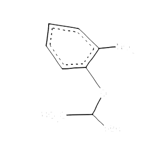 CCCCC(Oc1ccccc1[N+](=O)[O-])C(=O)O